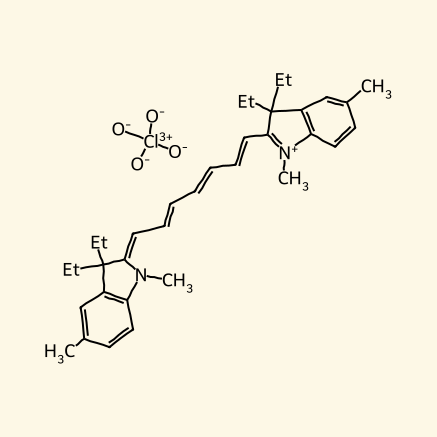 CCC1(CC)C(/C=C/C=C/C=C/C=C2\N(C)c3ccc(C)cc3C2(CC)CC)=[N+](C)c2ccc(C)cc21.[O-][Cl+3]([O-])([O-])[O-]